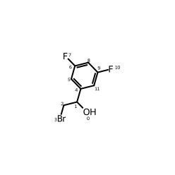 OC(CBr)c1cc(F)cc(F)c1